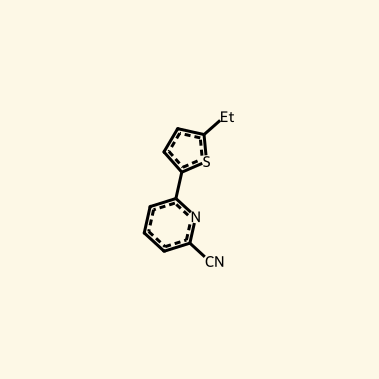 CCc1ccc(-c2cccc(C#N)n2)s1